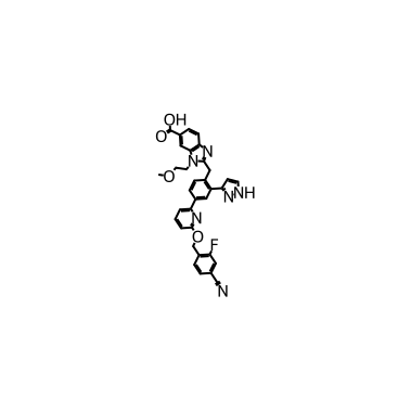 COCCn1c(Cc2ccc(-c3cccc(OCc4ccc(C#N)cc4F)n3)cc2-c2cc[nH]n2)nc2ccc(C(=O)O)cc21